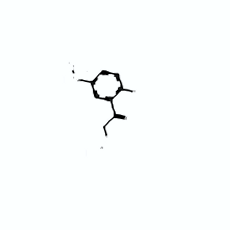 COCC(=O)c1cc(NN)ccc1C